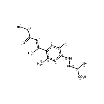 C/C(=N\C(=O)OC(C)(C)C)c1nc(Cl)c(NNC(C(=O)O)C(C)C)nc1C